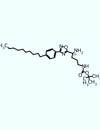 CCCCCCCCCCc1ccc(-c2noc([C@@H](N)CCCNC(=O)OC(C)(C)C)n2)cc1